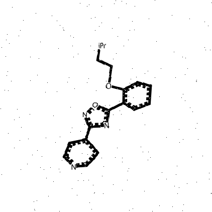 CC(C)CCOc1ccccc1-c1nc(-c2ccncc2)no1